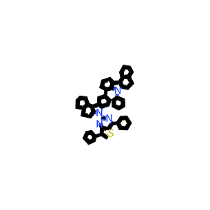 c1ccc(-c2csc3c(-c4ccccc4)nc(-n4c5ccc(-c6cccc7c8c9ccccc9ccc8n(-c8ccccc8)c67)cc5c5c6ccccc6ccc54)nc23)cc1